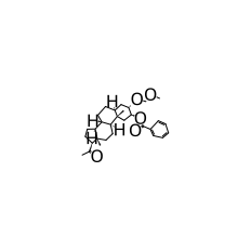 COCO[C@H]1C[C@@H]2CC[C@@H]3[C@H](CC[C@]4(C)[C@@H](C(C)=O)CC[C@@H]34)[C@@]2(C)C[C@@H]1OC(=O)c1ccccc1